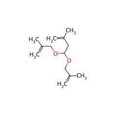 C=C(C)COC(CC(=C)C)OCC(=C)C